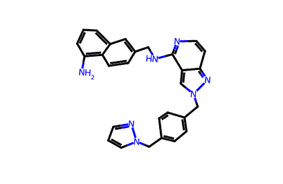 Nc1cccc2cc(CNc3nccc4nn(Cc5ccc(Cn6cccn6)cc5)cc34)ccc12